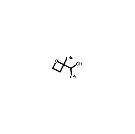 CCCCC1(C(O)CCC)CCO1